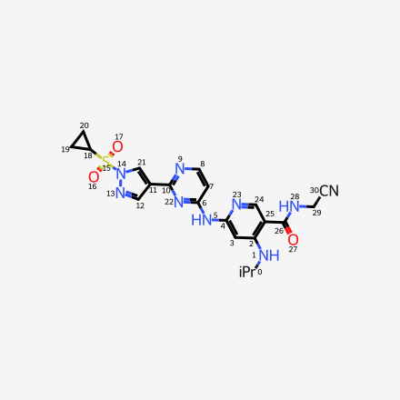 CC(C)Nc1cc(Nc2ccnc(-c3cnn(S(=O)(=O)C4CC4)c3)n2)ncc1C(=O)NCC#N